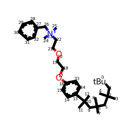 CC(C)(C)CC(C)(C)CC(C)(C)CC(C)(C)c1ccc(OCCOCC[N+](C)(C)Cc2ccccc2)cc1